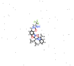 O=C1NC(C(F)(F)F)CN1Cc1ccc2oc(C(NC(=O)C3(c4ccccc4)CC3)C(C3CC3)C3CC3)nc2c1